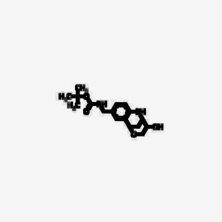 CC(C)(C)OC(=O)NCc1ccc2c(c1)C1CC(N2)C(O)CO1